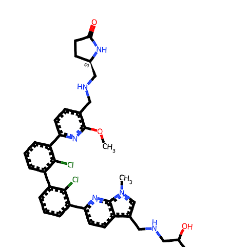 COc1nc(-c2cccc(-c3cccc(-c4ccc5c(CNCC(C)O)cn(C)c5n4)c3Cl)c2Cl)ccc1CNC[C@H]1CCC(=O)N1